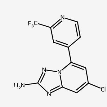 Nc1nc2cc(Cl)cc(-c3ccnc(C(F)(F)F)c3)n2n1